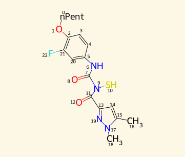 CCCCCOc1ccc(NC(=O)N(S)C(=O)c2cc(C)n(C)n2)cc1F